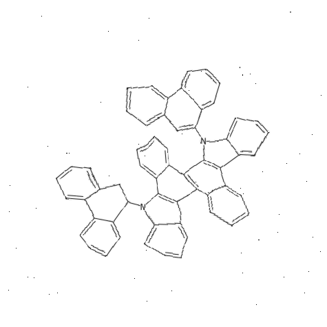 c1ccc2c(c1)CC(n1c3ccccc3c3c4c5ccccc5c5c6ccccc6n(-c6cc7ccccc7c7ccccc67)c5c4c4ccccc4c31)c1ccccc1-2